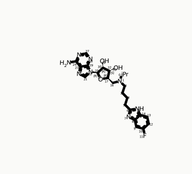 CC(C)N(CCCCc1nc2cc(F)ccc2[nH]1)C[C@H]1O[C@@H](n2cnc3c(N)ncnc32)[C@H](O)[C@@H]1O